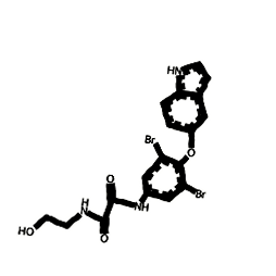 O=C(NCCO)C(=O)Nc1cc(Br)c(Oc2ccc3[nH]ccc3c2)c(Br)c1